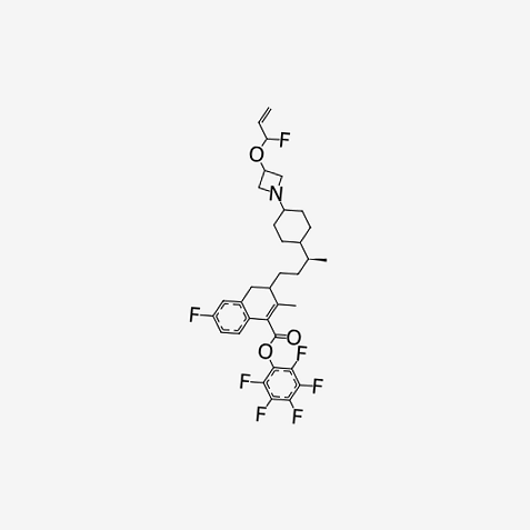 C=CC(F)OC1CN(C2CCC([C@@H](C)CCC3Cc4cc(F)ccc4C(C(=O)Oc4c(F)c(F)c(F)c(F)c4F)=C3C)CC2)C1